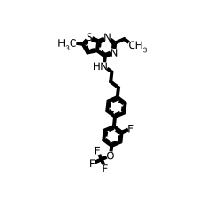 CCc1nc(NCCCc2ccc(-c3ccc(OC(F)(F)F)cc3F)cc2)c2cc(C)sc2n1